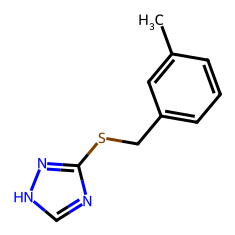 Cc1cccc(CSc2nc[nH]n2)c1